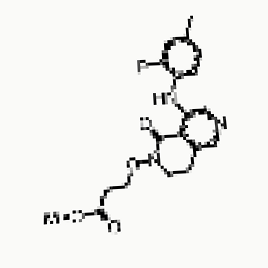 COC(=O)CCON1CCc2cncc(Nc3ccc(C)cc3F)c2C1=O